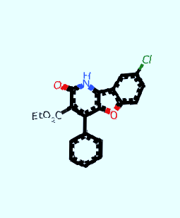 CCOC(=O)c1c(-c2ccccc2)c2oc3ccc(Cl)cc3c2[nH]c1=O